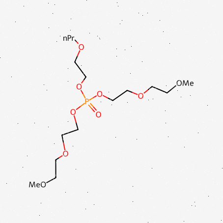 CCCOCCOP(=O)(OCCOCCOC)OCCOCCOC